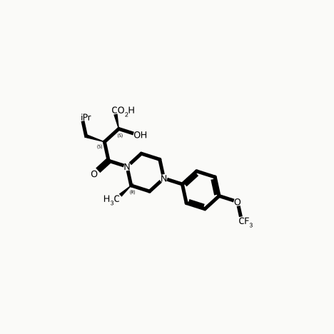 CC(C)C[C@H](C(=O)N1CCN(c2ccc(OC(F)(F)F)cc2)C[C@H]1C)[C@H](O)C(=O)O